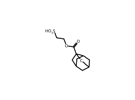 O=C(OCCS(=O)(=O)O)C12CC3CC(CC1C3)C2